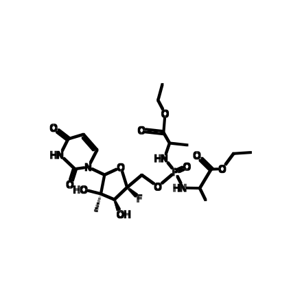 CCOC(=O)C(C)NP(=O)(NC(C)C(=O)OCC)OC[C@@]1(F)OC(n2ccc(=O)[nH]c2=O)[C@](C)(O)[C@@H]1O